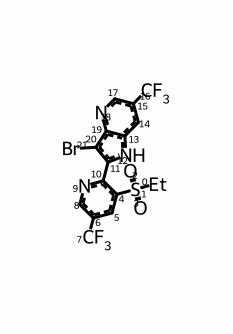 CCS(=O)(=O)c1cc(C(F)(F)F)cnc1-c1[nH]c2cc(C(F)(F)F)cnc2c1Br